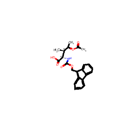 CC(=O)OC(C)[C@H](C)[C@H](NC(=O)OCC1c2ccccc2-c2ccccc21)C(=O)O